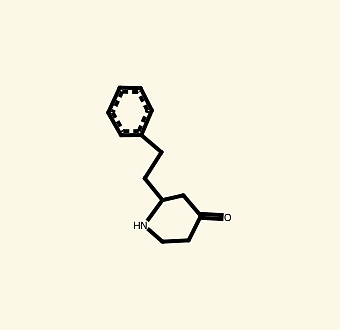 O=C1CCNC(CCc2ccccc2)C1